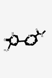 CNC(=O)c1cccc(-c2c[nH]c(=O)c(N)c2)n1